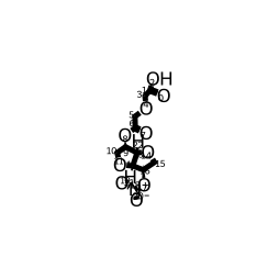 O=C(O)COCC(=O)O[C@H]1CO[C@H]2[C@H]1OC[C@H]2O[N+](=O)[O-]